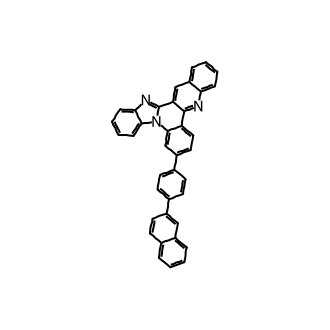 c1ccc2cc(-c3ccc(-c4ccc5c6nc7ccccc7cc6c6nc7ccccc7n6c5c4)cc3)ccc2c1